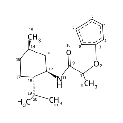 CC(Oc1ccccc1)C(=O)N[C@@H]1C[C@H](C)CC[C@H]1C(C)C